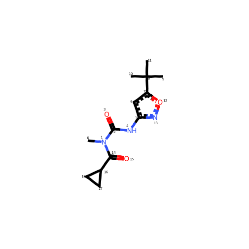 CN(C(=O)Nc1cc(C(C)(C)C)on1)C(=O)C1CC1